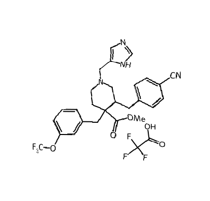 COC(=O)C1(Cc2cccc(OC(F)(F)F)c2)CCN(Cc2cnc[nH]2)CC1Cc1ccc(C#N)cc1.O=C(O)C(F)(F)F